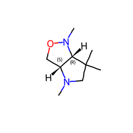 CN1CC(C)(C)[C@@H]2[C@H]1CON2C